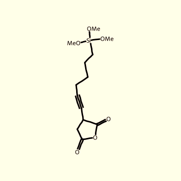 CO[Si](CCCCC#CC1CC(=O)OC1=O)(OC)OC